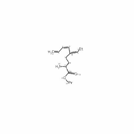 C=C/C=C\C(=C/CC)CCC(N)C(=O)OC(C)C